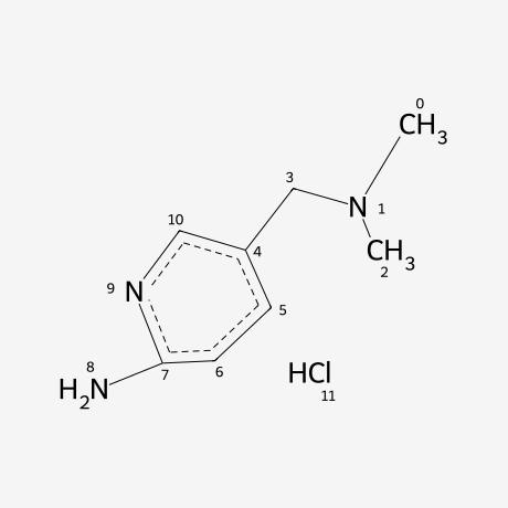 CN(C)Cc1ccc(N)nc1.Cl